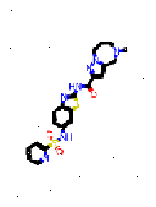 CN1CCCn2nc(C(=O)Nc3nc4ccc(NS(=O)(=O)c5ccccn5)cc4s3)cc2C1